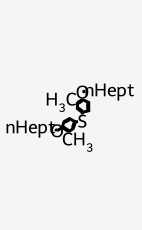 CCCCCCCOc1ccc(Sc2ccc(OCCCCCCC)c(C)c2)cc1C